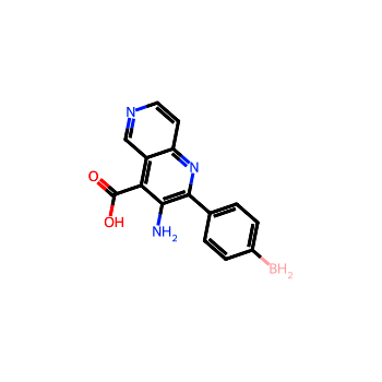 Bc1ccc(-c2nc3ccncc3c(C(=O)O)c2N)cc1